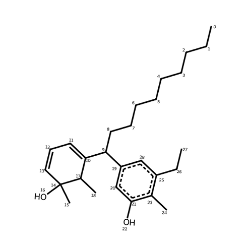 CCCCCCCCCC(C1=CC=CC(C)(O)C1C)c1cc(O)c(C)c(CC)c1